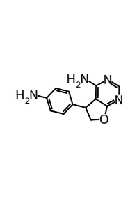 Nc1ccc(C2COc3ncnc(N)c32)cc1